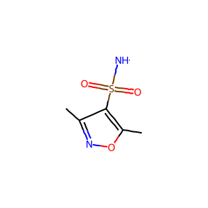 Cc1noc(C)c1S([NH])(=O)=O